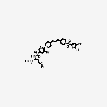 CCSCCC(NS(=O)(=O)c1cnc(N2CCC(CCCC3CCN(S(=O)(=O)c4cc(Br)c(Cl)s4)CC3)CC2)c(Br)c1)C(=O)O